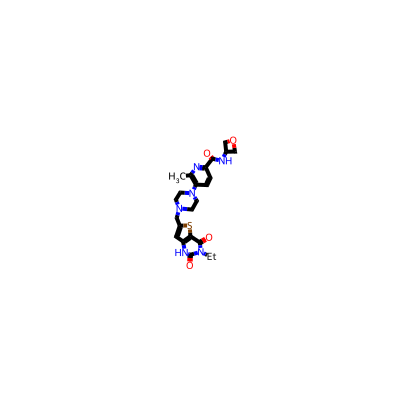 CCn1c(=O)[nH]c2cc(CN3CCN(c4ccc(C(=O)NC5COC5)nc4C)CC3)sc2c1=O